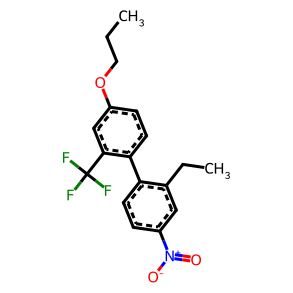 CCCOc1ccc(-c2ccc([N+](=O)[O-])cc2CC)c(C(F)(F)F)c1